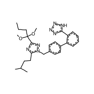 CCCC(OC)(OC)c1nc(CCC(C)C)n(Cc2ccc(-c3ccccc3-c3nnn[nH]3)cc2)n1